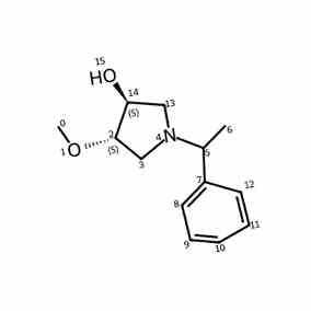 CO[C@H]1CN(C(C)c2ccccc2)C[C@@H]1O